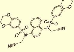 N#CCN(c1ccc(N(CC#N)S(=O)(=O)c2ccc3c(c2)OCCO3)c2ccccc12)S(=O)(=O)c1ccc2c(c1)OCCO2